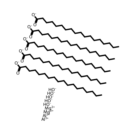 CCCCCCCCCCCCCCCCCC(=O)[O-].CCCCCCCCCCCCCCCCCC(=O)[O-].CCCCCCCCCCCCCCCCCC(=O)[O-].CCCCCCCCCCCCCCCCCC(=O)[O-].CCCCCCCCCCCCCCCCCC(=O)[O-].[Al+3].[Al+3].[Mg+2].[Mg+2].[OH-].[OH-].[OH-].[OH-].[OH-]